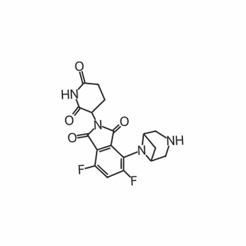 O=C1CCC(N2C(=O)c3c(F)cc(F)c(N4C5CNCC4C5)c3C2=O)C(=O)N1